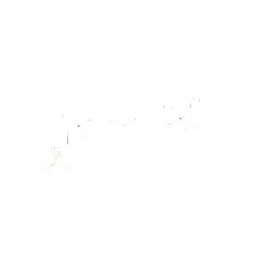 [CH2]CC(C)(C)CCOCCOCCC(C)(C)CCN[PH](=O)O